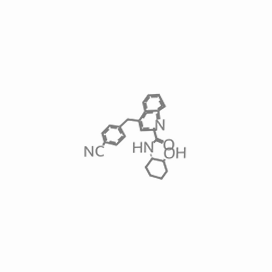 N#Cc1ccc(Cc2cc(C(=O)N[C@H]3CCCC[C@@H]3O)nc3ccccc23)cc1